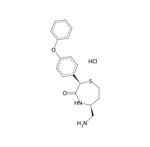 Cl.NC[C@@H]1CCS[C@H](c2ccc(Oc3ccccc3)cc2)C(=O)N1